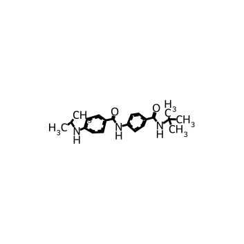 CC(C)Nc1ccc(C(=O)Nc2ccc(C(=O)NC(C)(C)C)cc2)cc1